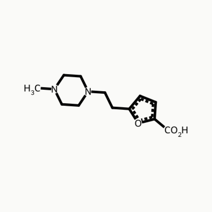 CN1CCN(CCc2ccc(C(=O)O)o2)CC1